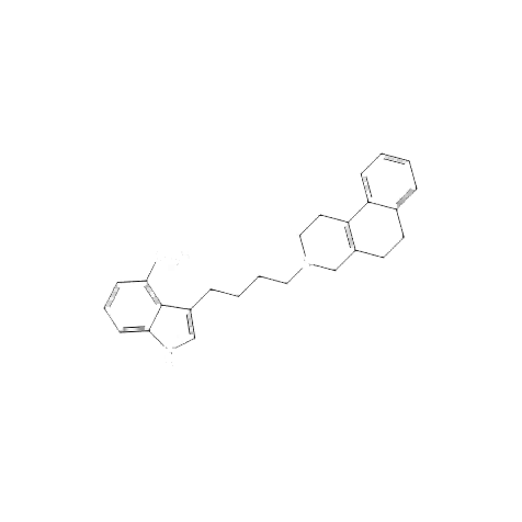 O=C(O)c1cccc2[nH]cc(CCCCN3CCC4=C(CCc5ccccc54)C3)c12